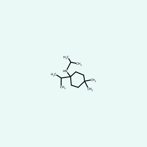 CC(C)NC1(C(C)C)CCC(C)(C)CC1